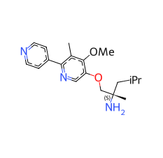 COc1c(OC[C@@](C)(N)CC(C)C)cnc(-c2ccncc2)c1C